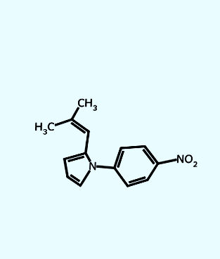 CC(C)=Cc1cccn1-c1ccc([N+](=O)[O-])cc1